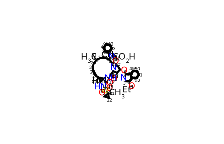 CCOc1cnc(O[C@@H]2C[C@H]3C(=O)N[C@]4(C(=O)NS(=O)(=O)C5(C)CC5)C[C@H]4C=CCC[C@@H](C)C[C@@H](C)[C@H](N(C(=O)O)c4ccccc4)C(=O)N3C2)c2ccccc12